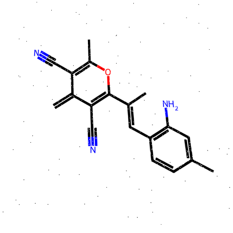 C=C1C(C#N)=C(C)OC(C(C)=Cc2ccc(C)cc2N)=C1C#N